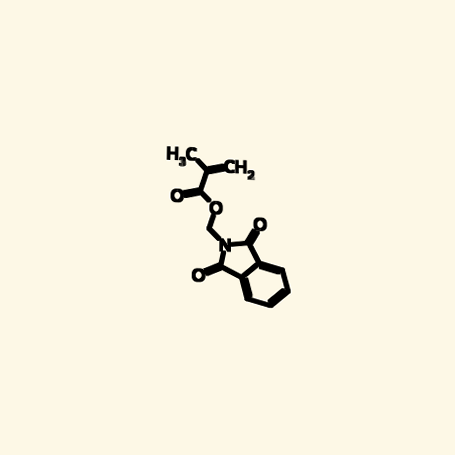 C=C(C)C(=O)OCN1C(=O)c2ccccc2C1=O